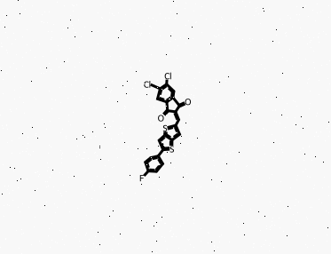 O=C1C(=Cc2cc3sc(-c4ccc(F)cc4)cc3s2)C(=O)c2cc(Cl)c(Cl)cc21